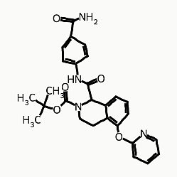 CC(C)(C)OC(=O)N1CCc2c(Oc3ccccn3)cccc2C1C(=O)Nc1ccc(C(N)=O)cc1